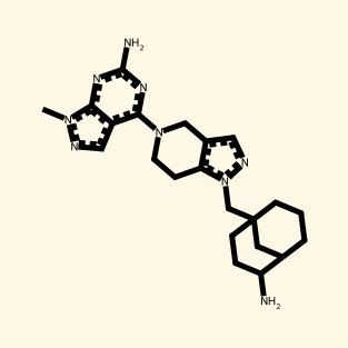 Cn1ncc2c(N3CCc4c(cnn4CC45CCCC(C4)C(N)CC5)C3)nc(N)nc21